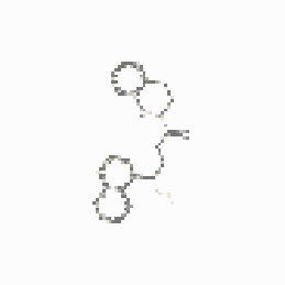 C[C@@H](CCC(=O)[C@H]1CCc2ccccc2O1)c1cccc2ccccc12